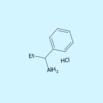 CC[CH]([AlH2])c1ccccc1.Cl